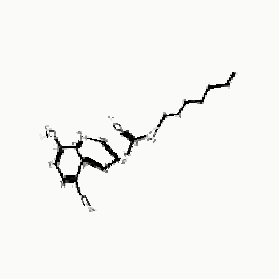 CCCCCCCOC(C)=O.Oc1ccc(Cl)c2cccnc12